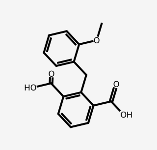 COc1ccccc1Cc1c(C(=O)O)cccc1C(=O)O